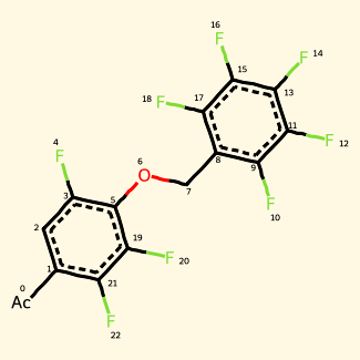 CC(=O)c1cc(F)c(OCc2c(F)c(F)c(F)c(F)c2F)c(F)c1F